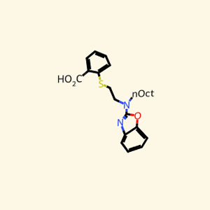 CCCCCCCCN(CCSc1ccccc1C(=O)O)c1nc2ccccc2o1